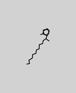 [CH2]c1ccccc1C(C)CCCCCCCCCCC